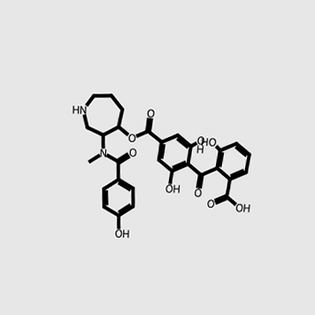 CN(C(=O)c1ccc(O)cc1)C1CNCCCC1OC(=O)c1cc(O)c(C(=O)c2c(O)cccc2C(=O)O)c(O)c1